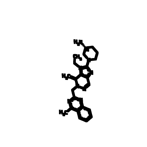 C=C1c2c(nc(N3CCC[C@@H](N)C3)n2CC)C=NN1Cc1nc(C)c2ccccc2n1